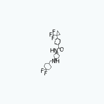 O=C(N[C@H]1CC[C@H](NCC2CCC(F)(F)CC2)C1)c1ccc(C2(C(F)(F)F)CC2)cc1